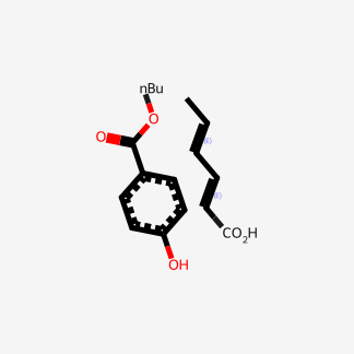 C/C=C/C=C/C(=O)O.CCCCOC(=O)c1ccc(O)cc1